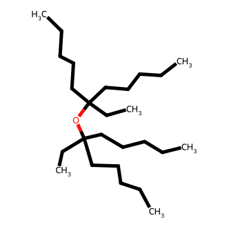 CCCCCC(CC)(CCCCC)OC(CC)(CCCCC)CCCCC